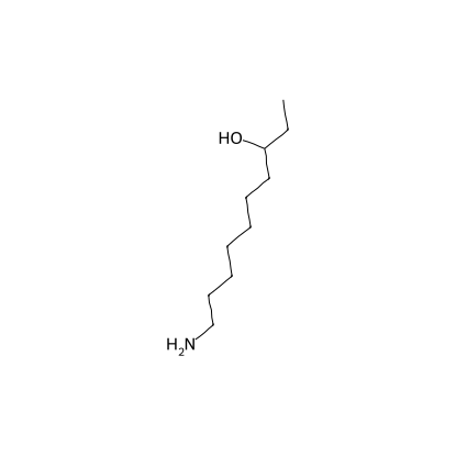 CCC(O)CCCCCCCN